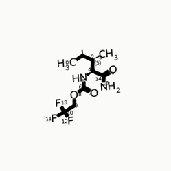 CC[C@H](C)[C@H](NC(=O)OCC(F)(F)F)C(N)=O